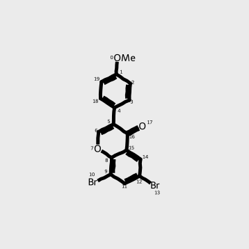 COc1ccc(-c2coc3c(Br)cc(Br)cc3c2=O)cc1